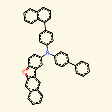 c1ccc(-c2ccc(N(c3ccc(-c4cccc5ccccc45)cc3)c3ccc4oc5cc6ccccc6cc5c4c3)cc2)cc1